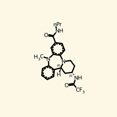 CCCNC(=O)c1ccc2c(c1)N(C)c1ccccc1[C@H]1C[C@@H](NC(=O)C(F)(F)F)CCN21